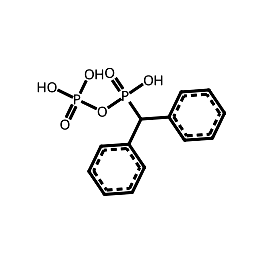 O=P(O)(O)OP(=O)(O)C(c1ccccc1)c1ccccc1